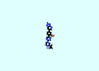 Cl.Cn1nc2cc(-c3ccc(-c4cnc(N5CCN[C@@H](C6(C)CC6)C5)nn4)c(O)c3)cnc2n1